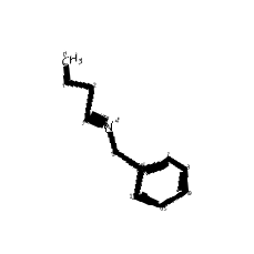 CCC/C=N/Cc1ccccc1